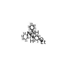 CCOc1ccc(NC(=NC2CCCCC2)Nc2ccccc2)cc1